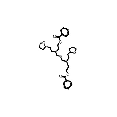 O=C(OCCC(CCC1CCCO1)CSCC(CCOC(=O)c1ccccc1)CCC1CCCO1)c1ccccc1